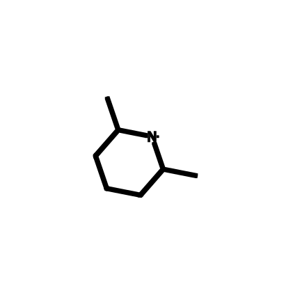 CC1CCCC(C)[N]1